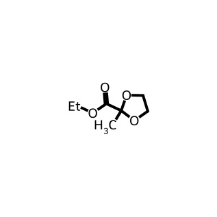 CCOC(=O)C1(C)OCCO1